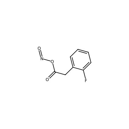 O=NOC(=O)Cc1ccccc1F